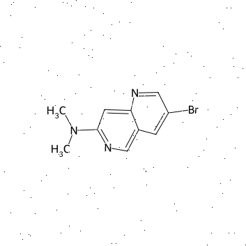 CN(C)c1cc2ncc(Br)cc2cn1